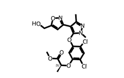 COC(=O)[C@H](C)Oc1cc(Oc2c(-c3cc(CO)on3)c(C)nn2C)c(Cl)cc1Cl